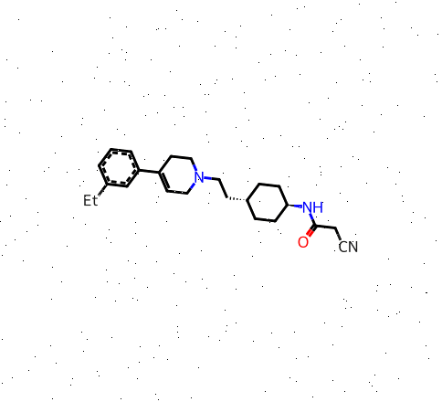 CCc1cccc(C2=CCN(CC[C@H]3CC[C@H](NC(=O)CC#N)CC3)CC2)c1